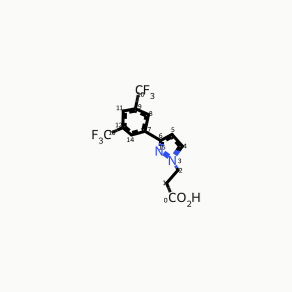 O=C(O)CCn1ccc(-c2cc(C(F)(F)F)cc(C(F)(F)F)c2)n1